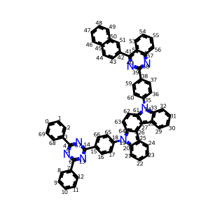 c1ccc(-c2nc(-c3ccccc3)nc(-c3ccc(-n4c5ccccc5c5c6c7ccccc7n(-c7ccc(-c8nc(-c9ccc%10ccccc%10c9)c9ccccc9n8)cc7)c6ccc54)cc3)n2)cc1